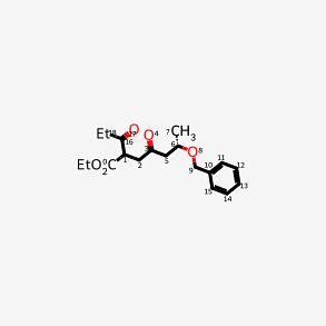 CCOC(=O)C(CC(=O)C[C@H](C)OCc1ccccc1)C(=O)CC